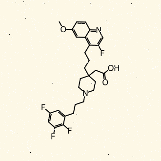 COc1ccc2ncc(F)c(CCCC3(CC(=O)O)CCN(CCCc4cc(F)cc(F)c4F)CC3)c2c1